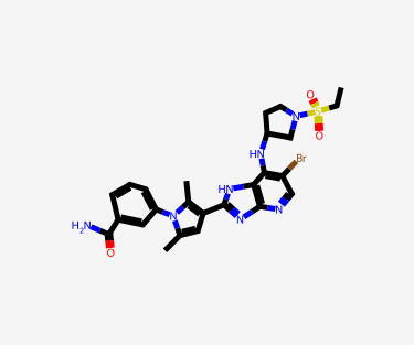 CCS(=O)(=O)N1CCC(Nc2c(Br)cnc3nc(-c4cc(C)n(-c5cccc(C(N)=O)c5)c4C)[nH]c23)C1